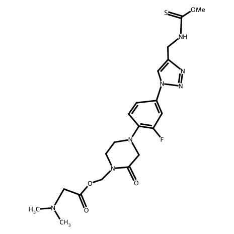 COC(=S)NCc1cn(-c2ccc(N3CCN(COC(=O)CN(C)C)C(=O)C3)c(F)c2)nn1